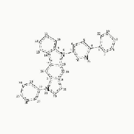 c1ccc(-c2ccc(-n3c4ccccc4c4cc5c(ccn5-c5ccccc5)cc43)cn2)cc1